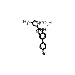 CC1CC(c2nc3cc(-c4ccc(Br)cc4)ccc3[nH]2)N(C(=O)O)C1